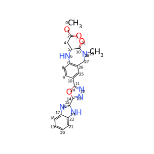 COC(=O)CC1Nc2ccc(-c3nnc(-c4nc5ccccc5[nH]4)o3)cc2CN(C)C1=O